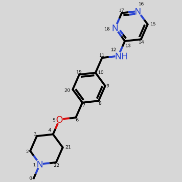 CN1CCC(OCc2ccc(CNc3ccncn3)cc2)CC1